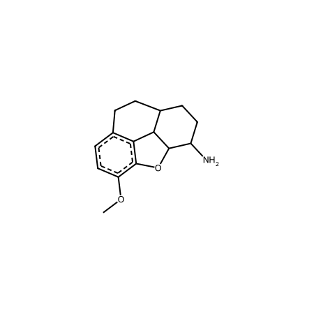 COc1ccc2c3c1OC1C(N)CCC(CC2)C31